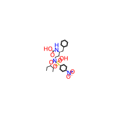 CCC(CC)ON(C[C@@H](O)[C@H](Cc1ccccc1)NC(=O)O)S(=O)(=O)c1ccc([N+](=O)[O-])cc1